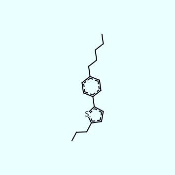 CCCCCc1ccc(-c2ccc(CCC)s2)cc1